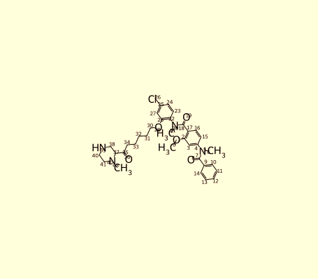 COc1cc(N(C)C(=O)c2ccccc2)ccc1C(=O)N(C)c1ccc(Cl)cc1OCCCCCC(=O)C1CNCCN1C